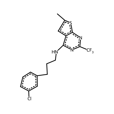 Cc1cc2c(NCCCc3cccc(Cl)c3)nc(C(F)(F)F)nc2s1